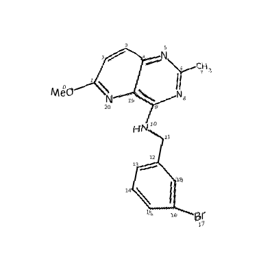 COc1ccc2nc(C)nc(NCc3cccc(Br)c3)c2n1